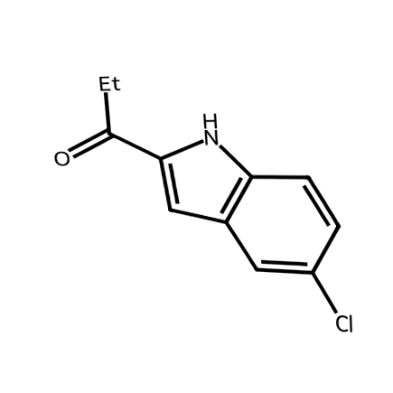 CCC(=O)c1cc2cc(Cl)ccc2[nH]1